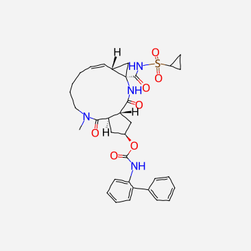 CN1CCCC/C=C\[C@@H]2C[C@@]2(C(=O)NS(=O)(=O)C2CC2)NC(=O)[C@@H]2C[C@@H](OC(=O)Nc3ccccc3-c3ccccc3)C[C@H]2C1=O